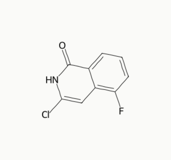 O=c1[nH]c(Cl)cc2c(F)cccc12